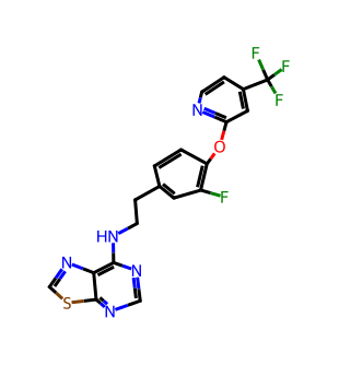 Fc1cc(CCNc2ncnc3scnc23)ccc1Oc1cc(C(F)(F)F)ccn1